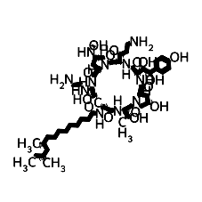 CC[C@H](C)C[C@H](C)CCCCCCCCC(=O)N[C@H]1C[C@@H](O)[C@@H](NCCN)NC(=O)[C@@H]2C[C@@H](NO)CN2C(=O)[C@H]([C@H](O)CCN)NC(=O)[C@H]([C@H](O)[C@@H](O)c2ccc(O)cc2)NC(=O)[C@@H]2C[C@@H](O)CN2C(=O)[C@H]([C@@H](C)O)NC1=O